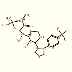 CNC(=O)[C@@H](CC(C)(C)C)N(C)C1=NCNC(N2CCCC2c2ccc(C(F)(F)F)cc2)C1F